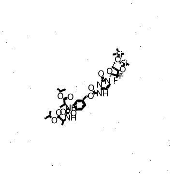 CC(C)OC(=O)C(C)NP(=O)(NC(C)C(=O)OC(C)C)Oc1ccc(COC(=O)Nc2ccn([C@@H]3O[C@H](CO[Si](C)(C)C)[C@@H](O[Si](C)(C)C)C3(F)F)c(=O)n2)cc1